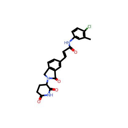 Cc1cc(NC(=O)/C=C/c2ccc3c(c2)C(=O)N(C2CCC(=O)NC2=O)C3)ccc1Cl